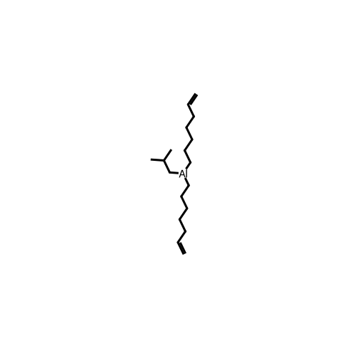 C=CCCCC[CH2][Al]([CH2]CCCCC=C)[CH2]C(C)C